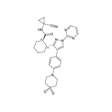 N#CC1(NC(=O)[C@@H]2CCCC[C@H]2c2nn(-c3ncccn3)cc2-c2ccc(N3CCS(=O)(=O)CC3)cc2)CC1